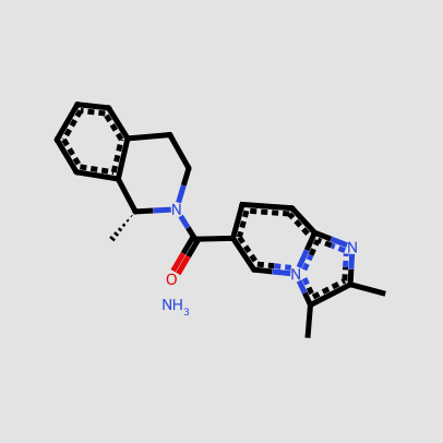 Cc1nc2ccc(C(=O)N3CCc4ccccc4[C@H]3C)cn2c1C.N